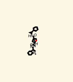 Cn1cc(-c2noc([C@@H]3CC4CCC3CN4C(=O)NC3CC3c3ccccc3)n2)c2ccccc21